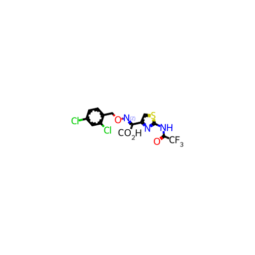 O=C(O)/C(=N\OCc1ccc(Cl)cc1Cl)c1csc(NC(=O)C(F)(F)F)n1